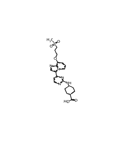 CS(=O)(=O)CCCOc1cccn2c(-c3ccnc(NC4CCC(C(=O)O)CC4)n3)cnc12